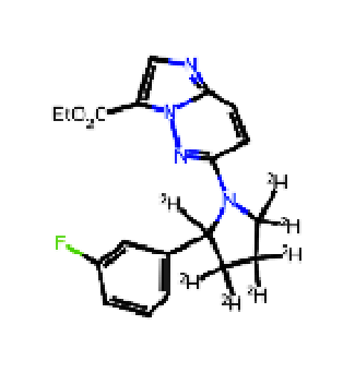 [2H]C1([2H])N(c2ccc3ncc(C(=O)OCC)n3n2)C([2H])(c2cccc(F)c2)C([2H])([2H])C1([2H])[2H]